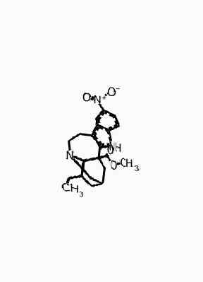 CCC1CC2CN3CCc4c([nH]c5ccc([N+](=O)[O-])cc45)C(C(=O)OC)(C2)C13